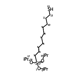 CC(C)O[Si](CCCCCCCCCCS)(OC(C)C)OC(C)C